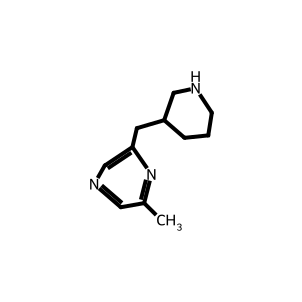 Cc1cncc(CC2CCCNC2)n1